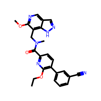 CCOc1nc(C(=O)N(C)Cc2c(OC)ncc3cn[nH]c23)ccc1-c1cccc(C#N)c1